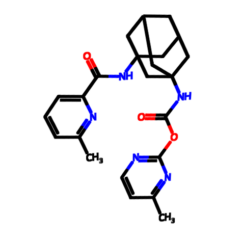 Cc1cccc(C(=O)NC23CC4CC(CC(NC(=O)Oc5nccc(C)n5)(C4)C2)C3)n1